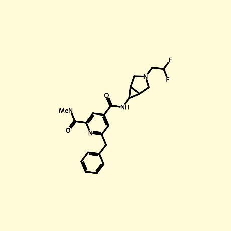 CNC(=O)c1cc(C(=O)NC2C3CN(CC(F)F)CC32)cc(Cc2ccccc2)n1